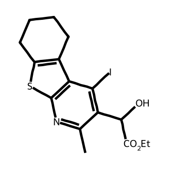 CCOC(=O)C(O)c1c(C)nc2sc3c(c2c1I)CCCC3